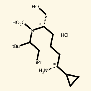 CC(C)CC(N(C(=O)O)[C@H](CO)CCC[C@@H](N)C1CC1)C(C)(C)C.Cl